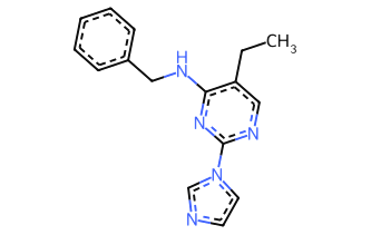 CCc1cnc(-n2ccnc2)nc1NCc1ccccc1